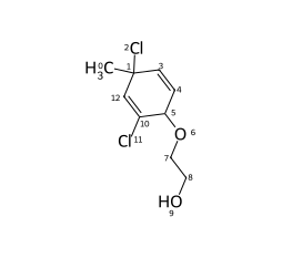 CC1(Cl)C=CC(OCCO)C(Cl)=C1